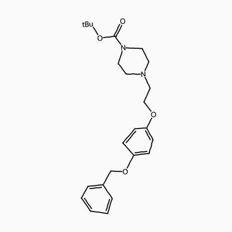 CC(C)(C)OC(=O)N1CCN(CCOc2ccc(OCc3ccccc3)cc2)CC1